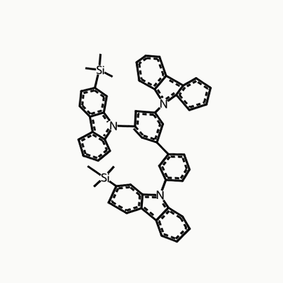 C[Si](C)(C)c1ccc2c3ccccc3n(-c3cccc(-c4cc(-n5c6ccccc6c6ccccc65)cc(-n5c6ccccc6c6ccc([Si](C)(C)C)cc65)c4)c3)c2c1